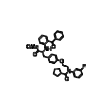 COC(=O)[C@H](Cc1ccc(OCCN(C(=O)C2CCCC2)c2cccc(F)c2)cc1)Nc1ccccc1C(=O)c1ccccc1